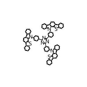 c1cc(-c2nc(-c3ccc(-n4c5ccccc5c5ccc6c7ccccc7sc6c54)cc3)nc(-c3cccc(-n4c5ccccc5c5ccc6c7ccccc7sc6c54)c3)n2)cc(-n2c3ccccc3c3ccc4c5ccccc5sc4c32)c1